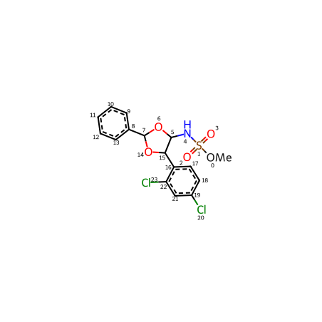 COS(=O)(=O)NC1OC(c2ccccc2)OC1c1ccc(Cl)cc1Cl